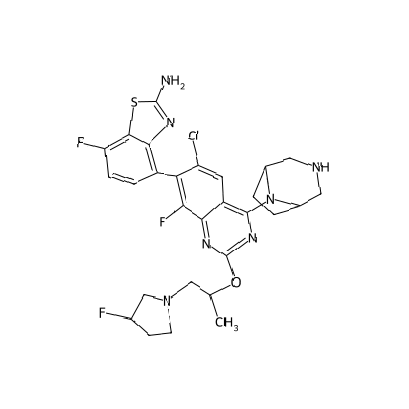 CC(CN1CCC(F)C1)Oc1nc(N2C3CCC2CNC3)c2cc(Cl)c(-c3ccc(F)c4sc(N)nc34)c(F)c2n1